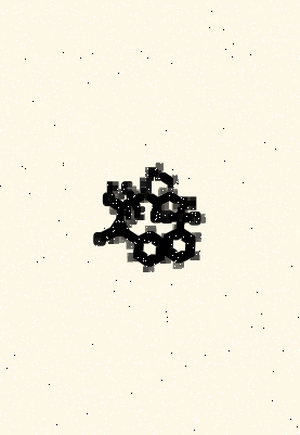 CC(C)C[C@H](NS(=O)(=O)c1ccccc1)C(=O)NC(C)(C)C(=O)c1c(-c2ccccc2)c1=O